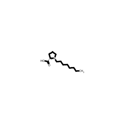 CCCCCCCCN1CCC[C@H]1C(=O)O